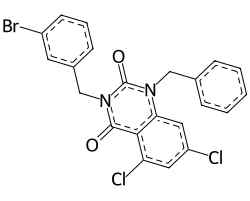 O=c1c2c(Cl)cc(Cl)cc2n(Cc2ccccc2)c(=O)n1Cc1cccc(Br)c1